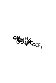 Cc1sc(C)c(C(=O)NC(C)c2ccc(C(=O)NS(=O)(=O)c3ccccc3)cc2)c1Cc1ccc(C(F)(F)F)cc1